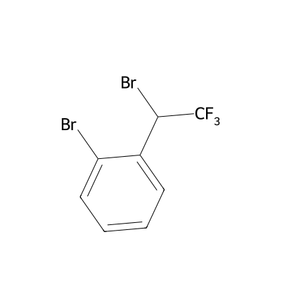 FC(F)(F)C(Br)c1ccccc1Br